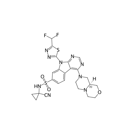 N#CC1(NS(=O)(=O)c2ccc3c4c(N5CCN6CCOC[C@@H]6C5)ncnc4n(-c4nnc(C(F)F)s4)c3c2)CC1